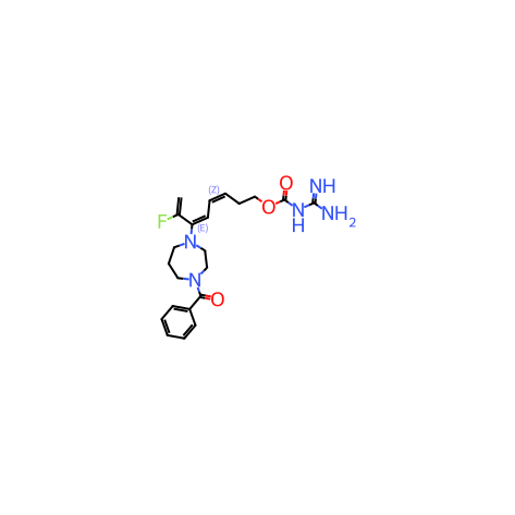 C=C(F)/C(=C\C=C/CCOC(=O)NC(=N)N)N1CCCN(C(=O)c2ccccc2)CC1